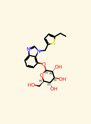 CCc1ccc(Cn2cnc3cccc(O[C@@H]4O[C@H](CO)[C@@H](O)[C@H](O)[C@H]4O)c32)s1